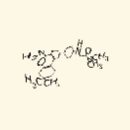 CN(C)C(=O)CNC1CCC(c2ccc(C(N)=O)c(C3=CCC(C)(C)CC3)c2)CC1